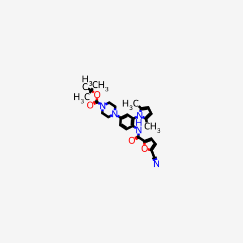 Cc1ccc(C)n1-c1cc(N2CCN(C(=O)OC(C)(C)C)CC2)ccc1NC(=O)c1ccc(C#N)o1